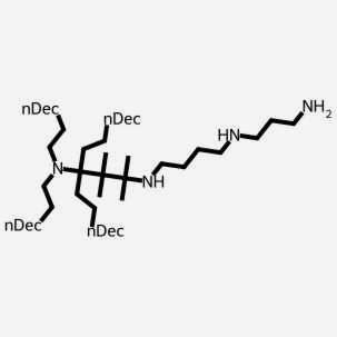 CCCCCCCCCCCCN(CCCCCCCCCCCC)C(CCCCCCCCCCCC)(CCCCCCCCCCCC)C(C)(C)C(C)(C)NCCCCNCCCN